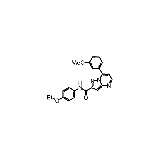 CCOc1ccc(NC(=O)c2cc3nccc(-c4cccc(OC)c4)n3n2)cc1